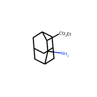 CCOC(=O)C1C2CC3CC(CC(C3)C1N)C2